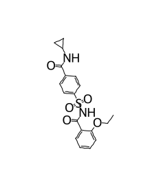 CCOc1ccccc1C(=O)NS(=O)(=O)c1ccc(C(=O)NC2CC2)cc1